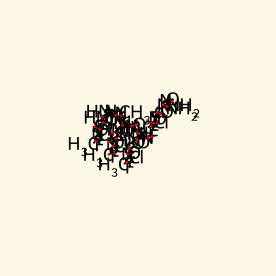 Cc1cc(N2CCC3(CCC(NC(=O)c4[nH]cnc4C(=O)N4CC(F)C4)CC3)C2=O)c(Cl)cc1F.Cc1cc(N2CCC3(CCC(NC(=O)c4[nH]cnc4C(=O)N4CC5(COC5)C4)CC3)C2=O)c(Cl)cc1F.Cc1cc(N2CCC3(CCC(NC(=O)c4[nH]cnc4C(=O)N4CCN(C)CC4)CC3)C2=O)c(Cl)cc1F.Cc1cc(N2CCC3(CCC(n4cnc(C(N)=O)c4C(N)=O)CC3)C2=O)c(Cl)cc1F